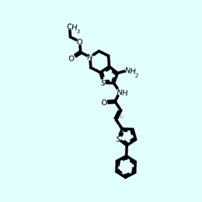 CCOC(=O)N1CCc2c(sc(NC(=O)/C=C/c3ccc(-c4ccccc4)s3)c2N)C1